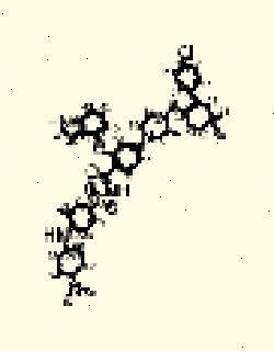 Cc1cc(S(=O)(=O)NC(=O)c2ccc(N3CCN(CC4=C(c5ccc(Cl)cc5)CC(C)(C)CC4)CC3)cc2Oc2cccc3[nH]ccc23)ccc1NC1CCC(N(C)C)CC1